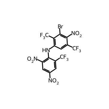 O=[N+]([O-])c1cc([N+](=O)[O-])c(Nc2cc(C(F)(F)F)c([N+](=O)[O-])c(Br)c2C(F)(F)F)c(C(F)(F)F)c1